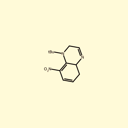 CC(C)(C)N1CC=NC2CC=CC([N+](=O)[O-])=C21